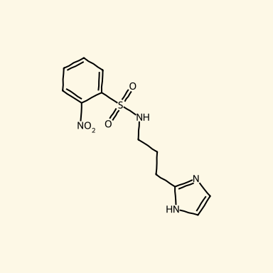 O=[N+]([O-])c1ccccc1S(=O)(=O)NCCCc1ncc[nH]1